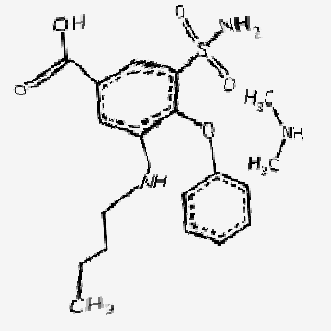 CCCCNc1cc(C(=O)O)cc(S(N)(=O)=O)c1Oc1ccccc1.CNC